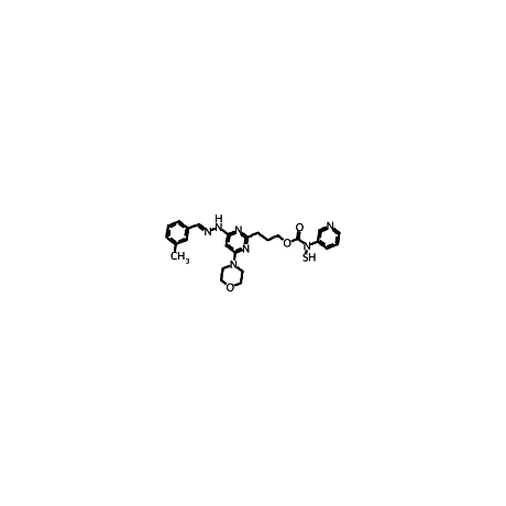 Cc1cccc(C=NNc2cc(N3CCOCC3)nc(CCCOC(=O)N(S)c3cccnc3)n2)c1